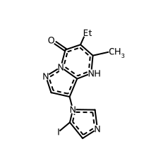 CCc1c(C)[nH]c2c(-n3cncc3I)cnn2c1=O